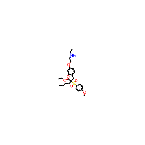 CCCCC(Cc1ccc(OCCNCC)cc1)(C(=O)OCC)S(=O)(=O)c1ccc(OC)cc1